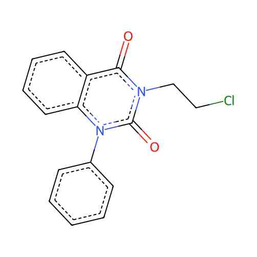 O=c1c2ccccc2n(-c2ccccc2)c(=O)n1CCCl